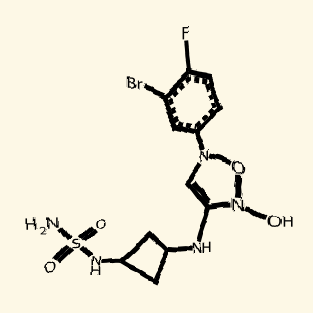 NS(=O)(=O)NC1CC(NC2=CN(c3ccc(F)c(Br)c3)ON2O)C1